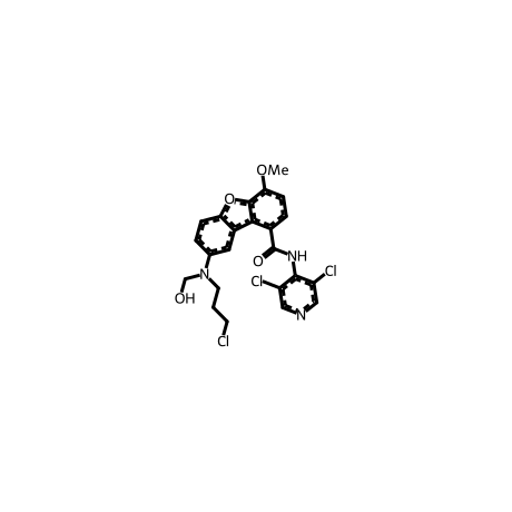 COc1ccc(C(=O)Nc2c(Cl)cncc2Cl)c2c1oc1ccc(N(CO)CCCCl)cc12